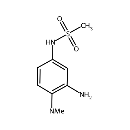 CNc1ccc(NS(C)(=O)=O)cc1N